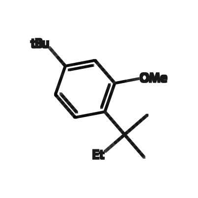 CCC(C)(C)c1ccc(C(C)(C)C)cc1OC